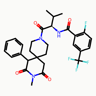 CC(C)[C@@H](NC(=O)c1cc(C(F)(F)F)ccc1F)C(=O)N1CCC2(CC1)CC(=O)N(C)C(=O)C2c1ccccc1